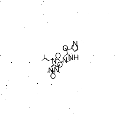 CC(C)=CCN(C(=O)CN1CCNC(C(=O)c2cccnc2)C1)c1cn(C)c(=O)n(C)c1=O